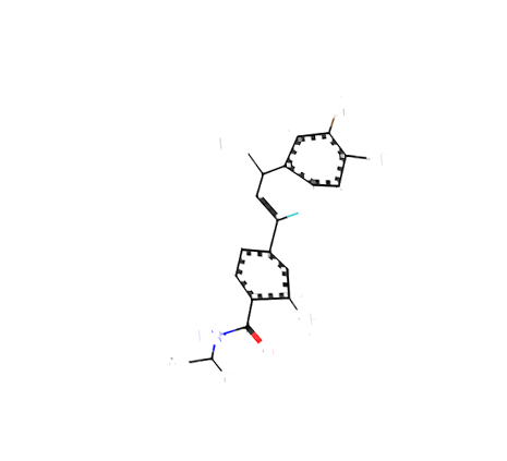 CC(=O)C(C)NC(=O)c1ccc(/C(F)=C/C(c2ccc(C(F)(F)F)c(Br)c2)C(F)(F)F)cc1C(F)(F)F